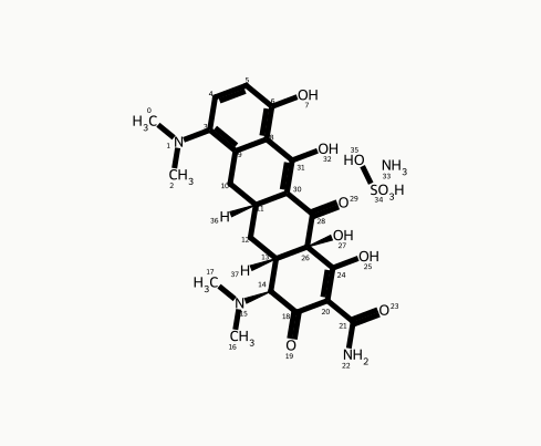 CN(C)c1ccc(O)c2c1C[C@H]1C[C@H]3[C@H](N(C)C)C(=O)C(C(N)=O)=C(O)[C@@]3(O)C(=O)C1=C2O.N.O=S(=O)(O)O